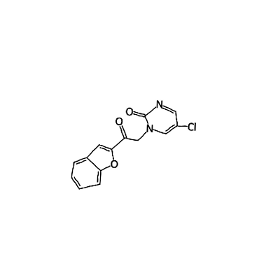 O=C(Cn1cc(Cl)cnc1=O)c1cc2ccccc2o1